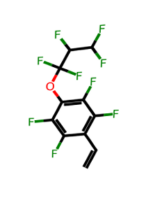 C=Cc1c(F)c(F)c(OC(F)(F)C(F)C(F)F)c(F)c1F